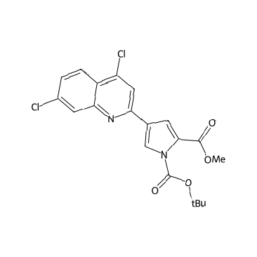 COC(=O)c1cc(-c2cc(Cl)c3ccc(Cl)cc3n2)cn1C(=O)OC(C)(C)C